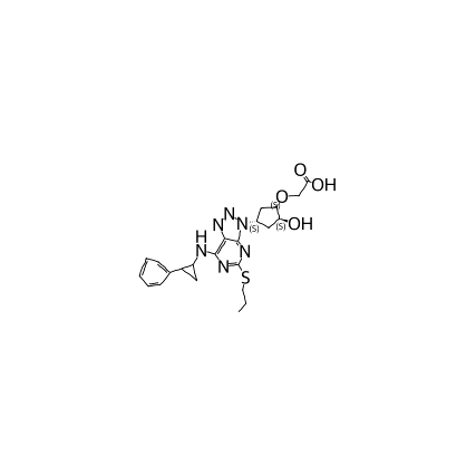 CCCSc1nc(NC2CC2c2ccccc2)c2nnn([C@@H]3C[C@H](OCC(=O)O)[C@@H](O)C3)c2n1